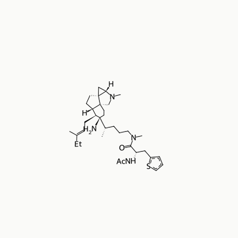 CC/C(C)=C/C[C@H]1[C@@H]2CC[C@]34C[C@@H]3N(C)C[C@]24CC[C@]1(N)[C@@H](C)CCCN(C)C(=O)[C@H](Cc1cccs1)NC(C)=O